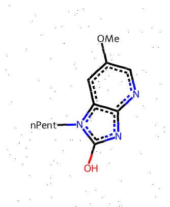 CCCCCn1c(O)nc2ncc(OC)cc21